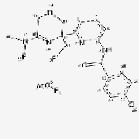 CC(=O)OF.O=C(Nc1cccc(C2(CF)COCC(N(F)F)=N2)n1)c1ccc(Cl)cn1